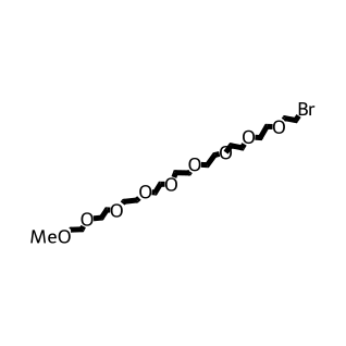 COCCOCCOCCOCCOCCOCCOCCOCCOCCBr